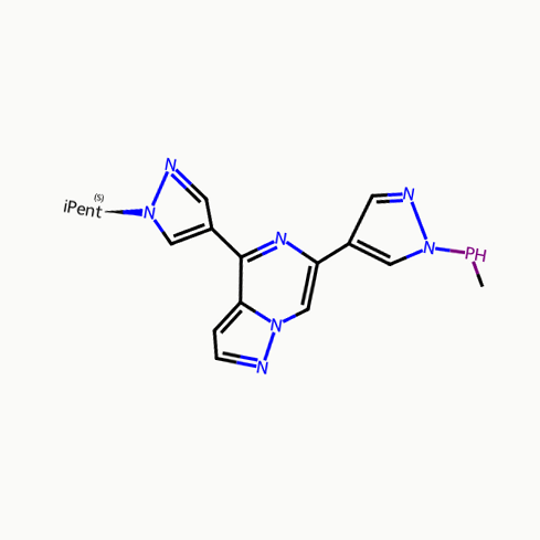 CCC[C@H](C)n1cc(-c2nc(-c3cnn(PC)c3)cn3nccc23)cn1